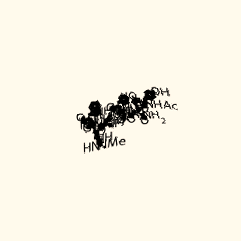 CNC(=N)NCCC[C@H](NC(=O)[C@@H](/C=C/CNC(=O)[C@H](Cc1ccccc1)NC(=O)[C@@H](NC(=O)[C@H](CNC(N)=O)NC(=O)[C@@H]1C[C@@H](O)CN1C(=O)[C@@H](Cc1ccc(O)cc1)NC(C)=O)[C@@H](C)O)CC(C)C)C(=O)N[C@@H](Cc1c[nH]c2ccccc12)C(N)=O